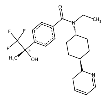 CCN(C(=O)c1ccc([C@](C)(O)C(F)(F)F)cc1)[C@H]1CC[C@H](C2CC=CC=N2)CC1